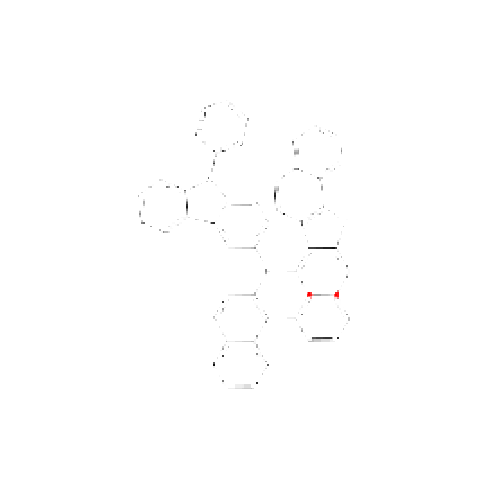 c1ccc(-c2c(N(c3ccc4c(c3)c3ccccc3n4-c3ccccc3)c3cccc4oc5c6ccccc6ccc5c34)ccc3ccccc23)cc1